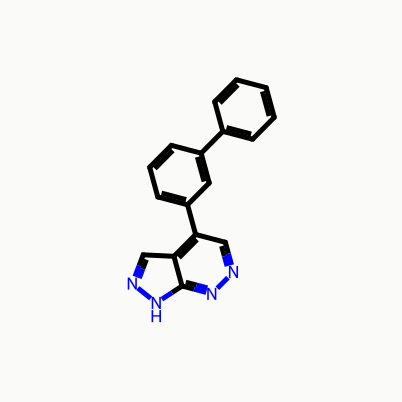 c1ccc(-c2cccc(-c3cnnc4[nH]ncc34)c2)cc1